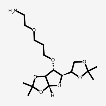 CC1(C)OCC([C@H]2O[C@@H]3OC(C)(C)OC3[C@@H]2OCCCOCCN)O1